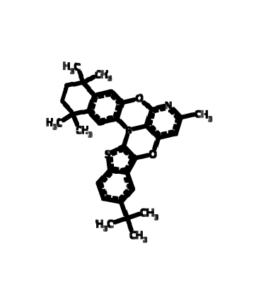 Cc1cc2c3c(n1)Oc1cc4c(cc1B3c1sc3ccc(C(C)(C)C)cc3c1O2)C(C)(C)CCC4(C)C